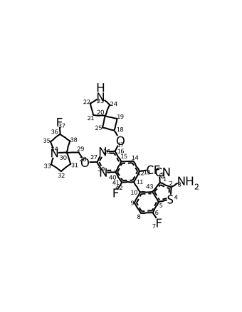 N#Cc1c(N)sc2c(F)ccc(-c3c(C(F)(F)F)cc4c(OC5CC6(CCNC6)C5)nc(OCC56CCCN5CC(F)C6)nc4c3F)c12